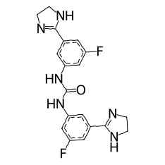 O=C(Nc1cc(F)cc(C2=NCCN2)c1)Nc1cc(F)cc(C2=NCCN2)c1